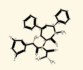 C[C@H](N)C(=O)N(C(=O)[C@@H](O)c1cc(F)cc(F)c1)[C@H]1CC(c2ccccc2)=C[C@@H](c2ccccc2)N(C)C1=O